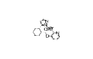 CCCn1nccc1[C@H]1CCCC[C@H]1COc1cccnc1C=O